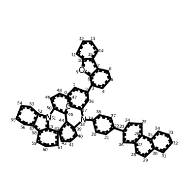 c1cc(-c2cccc3c2oc2ccccc23)cc(N(c2ccc(-c3ccc4c(ccc5ccccc54)c3)cc2)c2ccccc2-c2ccccc2-n2c3ccccc3c3ccccc32)c1